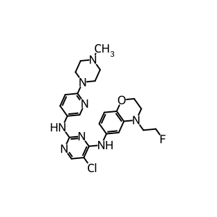 CN1CCN(c2ccc(Nc3ncc(Cl)c(Nc4ccc5c(c4)N(CCF)CCO5)n3)cn2)CC1